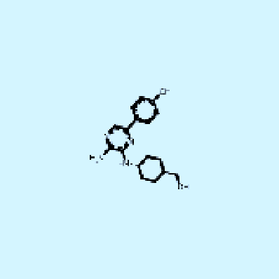 Nc1ncc(-c2ccc(O)cc2)nc1N[C@H]1CC[C@H](CO)CC1